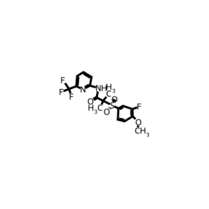 COc1ccc(S(=O)(=O)C(C)(C)C(=O)Nc2cccc(C(F)(F)F)n2)cc1F